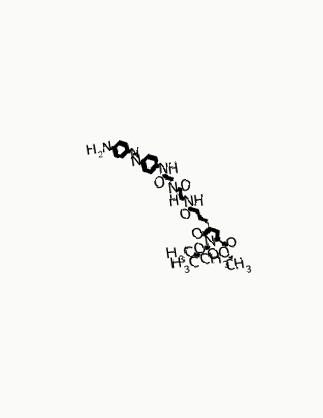 CCOC(=O)[C@@H]1C[C@@H](CCCC(=O)NCC(=O)NCC(=O)Nc2ccc(/N=N/c3ccc(N)cc3)cc2)C(=O)N1C(=O)OC(C)(C)C